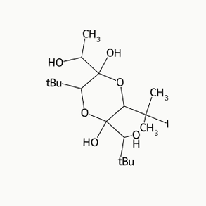 CC(O)C1(O)OC(C(C)(C)I)C(O)(C(O)C(C)(C)C)OC1C(C)(C)C